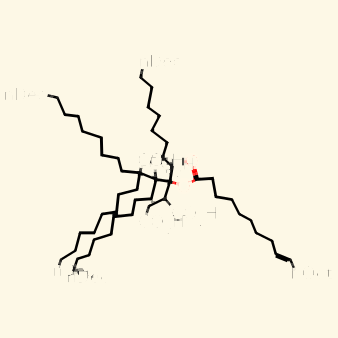 CCCCCCCCC=CCCCCCCCC(=O)OC(CCCCCCCCCCCCCCCCCC)(C(CC(=O)O)C(=O)O)C(CCCCCCCCCCCCCCCCCC)(C(=O)O)C(CCCCCCCCCCCCCCCCCC)(CCCCCCCCCCCCCCCCCC)C(=O)O